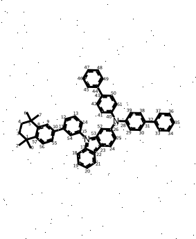 CC1(C)CCC(C)(C)c2cc(-c3cccc(-n4c5ccccc5c5ccc(N(c6ccc(-c7ccccc7)cc6)c6ccc(-c7ccccc7)cc6)cc54)c3)ccc21